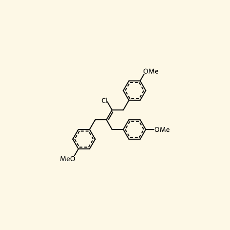 COc1ccc(CC(Cl)=C(Cc2ccc(OC)cc2)Cc2ccc(OC)cc2)cc1